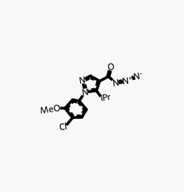 COc1cc(-n2ncc(C(=O)N=[N+]=[N-])c2C(C)C)ccc1Cl